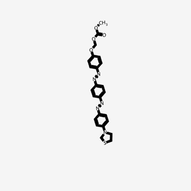 COC(=O)OCOc1ccc(N=Nc2ccc(N=Nc3ccc(N4CCSC4)cc3)cc2)cc1